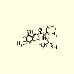 CCC(C)[C@H](NCC(N)CS)C(=O)NCc1ccc(C)cc1C